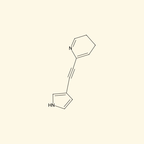 C(#Cc1cc[nH]c1)C1=CCCC=N1